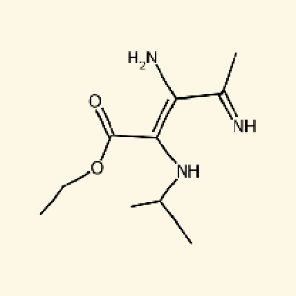 CCOC(=O)/C(NC(C)C)=C(\N)C(C)=N